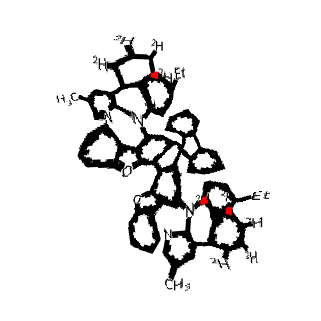 [2H]c1c([2H])c([2H])c(-c2cc(C)cnc2N(c2ccc(CC)cc2)c2cc3c(c4oc5ccccc5c24)-c2c(cc(N(c4ccc(CC)cc4)c4ncc(C)cc4C4C([2H])C([2H])C([2H])C([2H])C4[2H])c4c2oc2ccccc24)C32c3ccccc3-c3ccccc32)c([2H])c1[2H]